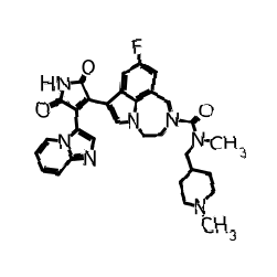 CN1CCC(CN(C)C(=O)N2CCn3cc(C4=C(c5cnc6ccccn56)C(=O)NC4=O)c4cc(F)cc(c43)C2)CC1